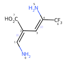 N/C=C(\C=C(/N)C(F)(F)F)C(=O)O